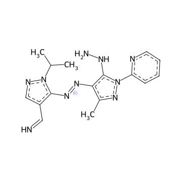 Cc1nn(-c2ccccn2)c(NN)c1/N=N/c1c(C=N)cnn1C(C)C